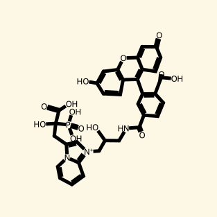 O=C(NCC(O)C[n+]1cc(CC(O)(C(=O)O)P(=O)(O)O)n2ccccc21)c1ccc(C(=O)O)c(-c2c3ccc(=O)cc-3oc3cc(O)ccc23)c1